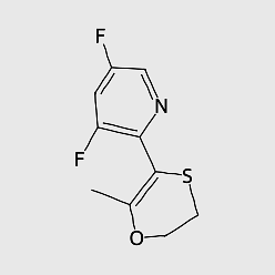 CC1=C(c2ncc(F)cc2F)SCCO1